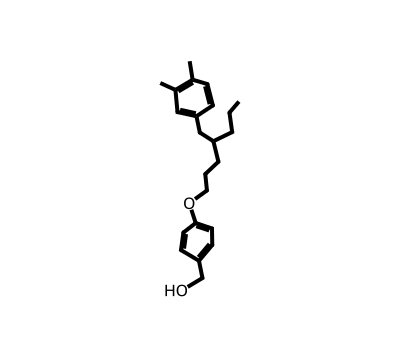 CCCC(CCCOc1ccc(CO)cc1)Cc1ccc(C)c(C)c1